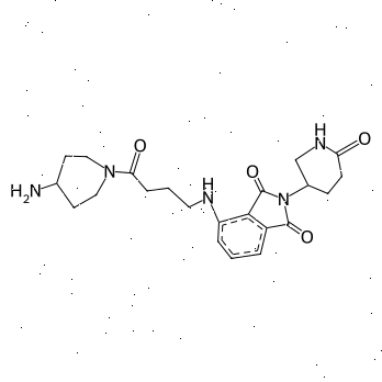 NC1CCN(C(=O)CCCNc2cccc3c2C(=O)N(C2CCC(=O)NC2)C3=O)CC1